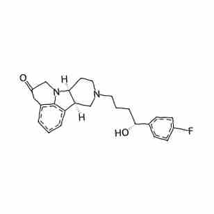 O=C1Cc2cccc3c2N(C1)[C@H]1CCN(CCC[C@@H](O)c2ccc(F)cc2)C[C@@H]31